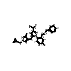 Cc1nn(CC2CC2)cc1Cc1cc(C(F)F)nn1-c1ccc(F)cc1COCc1ccccc1